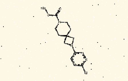 CC(C)(C)OC(=O)N1CCC2(CC1)CN(c1ccc(Cl)nc1)C2